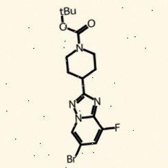 CC(C)(C)OC(=O)N1CCC(c2nc3c(F)cc(Br)cn3n2)CC1